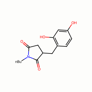 CCCCN1C(=O)CC(Cc2ccc(O)cc2O)C1=O